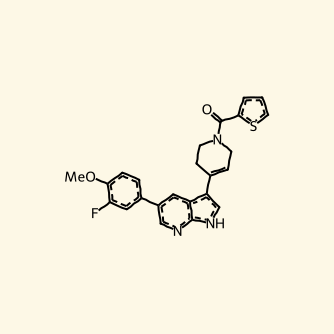 COc1ccc(-c2cnc3[nH]cc(C4=CCN(C(=O)c5cccs5)CC4)c3c2)cc1F